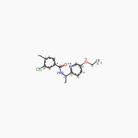 Cc1ccc(C(=O)NC(C)c2ccc(OCC(F)(F)F)cn2)cc1Cl